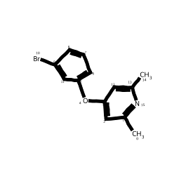 Cc1cc(Oc2cccc(Br)c2)cc(C)n1